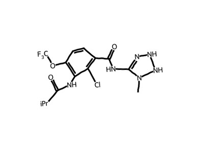 CC(C)C(=O)Nc1c(OC(F)(F)F)ccc(C(=O)NC2=NNNN2C)c1Cl